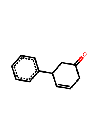 O=C1CC=CC(c2ccccc2)C1